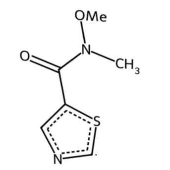 CON(C)C(=O)c1cn[c]s1